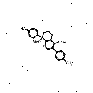 COc1c(-c2ccc(C)cc2)cnc2c1CCCC2(OC)c1ccc(C#N)cc1